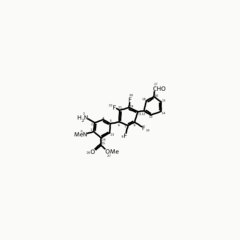 CNc1c(N)cc(-c2c(F)c(F)c(-c3cccc(C=O)c3)c(F)c2F)cc1C(=O)OC